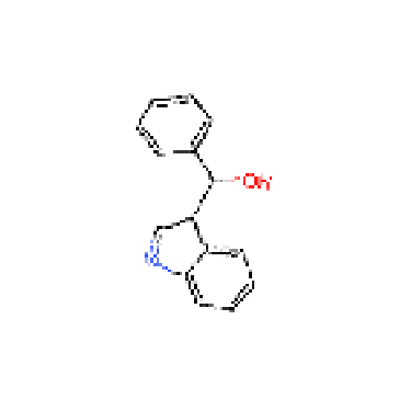 OC(c1ccccc1)C1C=Nc2ccccc21